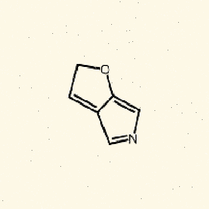 C1=NC=C2OCC=C12